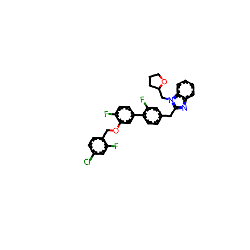 Fc1cc(Cl)ccc1COc1cc(-c2ccc(Cc3nc4ccccc4n3CC3CCCO3)cc2F)ccc1F